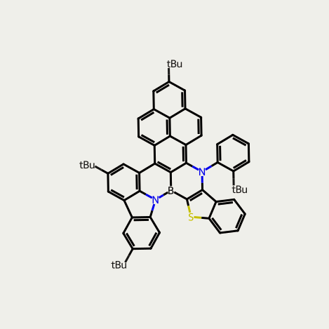 CC(C)(C)c1cc2ccc3c4c5c(c6ccc(c1)c2c36)N(c1ccccc1C(C)(C)C)c1c(sc2ccccc12)B5n1c2ccc(C(C)(C)C)cc2c2cc(C(C)(C)C)cc-4c21